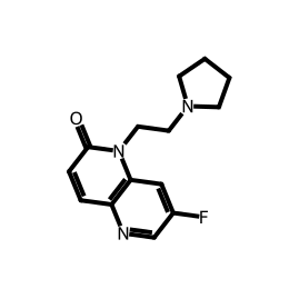 O=c1ccc2ncc(F)cc2n1CCN1CCCC1